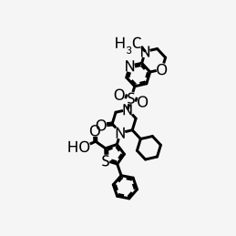 CN1CCOc2cc(S(=O)(=O)N3CC(=O)N(c4cc(-c5ccccc5)sc4C(=O)O)C(C4CCCCC4)C3)cnc21